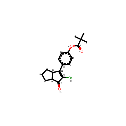 CC(C)(C)C(=O)Oc1ccc(C2=C(Br)C(=O)C3CCCC23)cc1